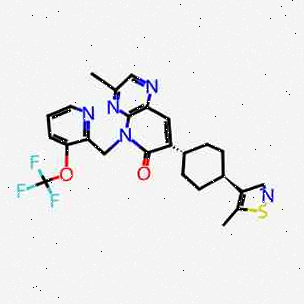 Cc1cnc2cc([C@H]3CC[C@H](c4cnsc4C)CC3)c(=O)n(Cc3ncccc3OC(F)(F)F)c2n1